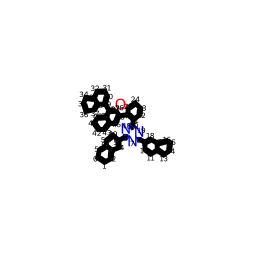 c1ccc2cc(-c3nc(-c4ccc5ccccc5c4)nc(-c4cccc5oc6c(-c7cccc8ccccc78)c7ccccc7cc6c45)n3)ccc2c1